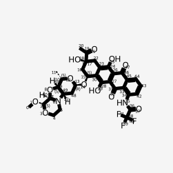 CO[C@H]1OCCN2[C@@H]1O[C@@H]1[C@H](C)O[C@@H](O[C@H]3C[C@](O)(C(C)=O)Cc4c(O)c5c(c(O)c43)C(=O)c3c(NC(=O)C(F)(F)F)cccc3C5=O)C[C@@H]12